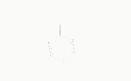 [CH2]c1ccccc1P